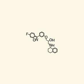 OC(CNC1CCCc2ccccc21)COc1cccc(-c2noc3cc(F)ccc23)c1